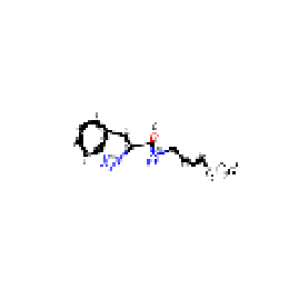 NC(Cc1ccccc1)C(=O)NCCCC(=O)O